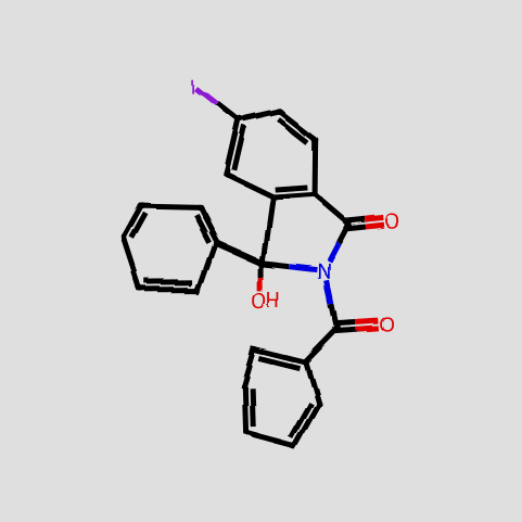 O=C(c1ccccc1)N1C(=O)c2ccc(I)cc2C1(O)c1ccccc1